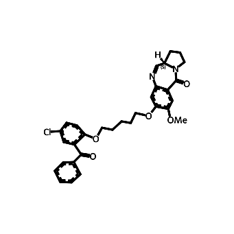 COc1cc2c(cc1OCCCCCOc1ccc(Cl)cc1C(=O)c1ccccc1)N=C[C@@H]1CCCN1C2=O